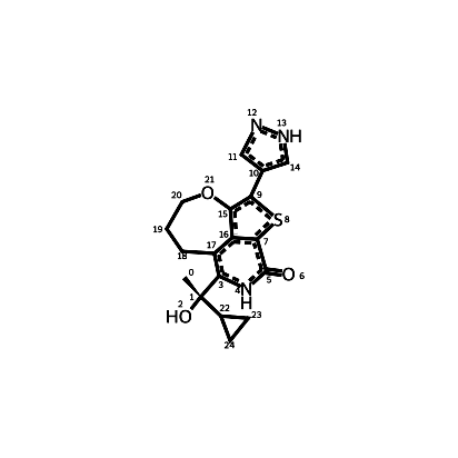 C[C@@](O)(c1[nH]c(=O)c2sc(-c3cn[nH]c3)c3c2c1CCCO3)C1CC1